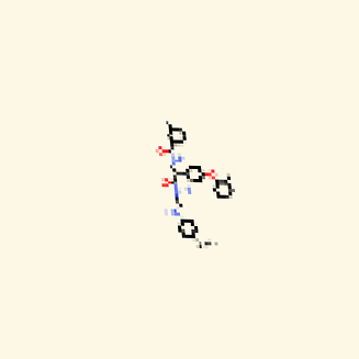 COc1ccc(NCCNC(=O)C(CNC(=O)c2cccc(C)c2)c2ccc(Oc3ccccc3C)cc2)cc1